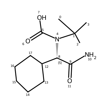 CC(C)(C)N(C(=O)O)[C@H](C(N)=O)C1CCCCC1